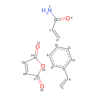 C=CC(N)=O.C=Cc1ccccc1.O=C1C=CC(=O)O1